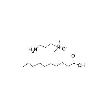 CCCCCCCCCC(=O)O.C[N+](C)([O-])CCCN